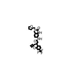 O=C(/C=C1\CC2(CCC2)Oc2cc(C(F)(F)F)ccc21)Nc1ccc2c(c1)NC(=O)N(CC1CCCO1)C2